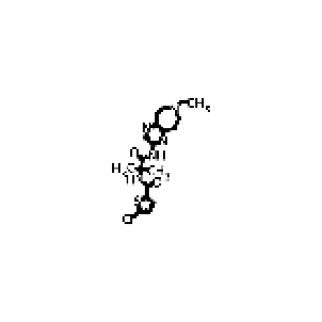 CCN1CCc2ncc(NC(=O)C(C)(C)NC(=O)c3ccc(Cl)s3)nc2CC1